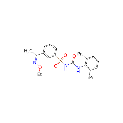 CCO/N=C(/C)c1cccc(S(=O)(=O)NC(=O)Nc2c(C(C)C)cccc2C(C)C)c1